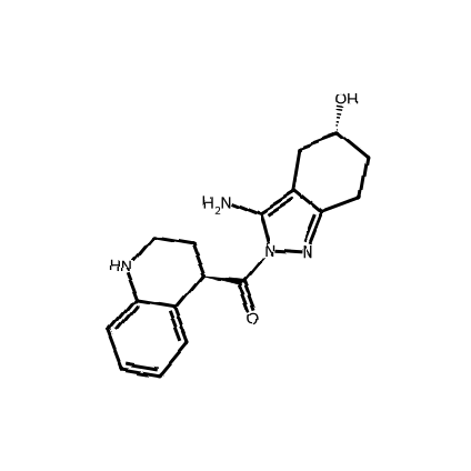 Nc1c2c(nn1C(=O)[C@@H]1CCNc3ccccc31)CC[C@@H](O)C2